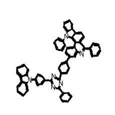 c1ccc(-c2nc(-c3ccc(-c4ccc5c(c4)nc(-c4ccccc4)c4ccc6c7ccccc7n(-c7ccccc7)c6c45)cc3)nc(-c3ccc(-n4c5ccccc5c5ccccc54)cc3)n2)cc1